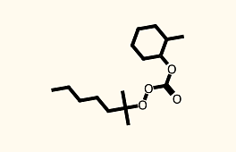 CCCCCC(C)(C)OOC(=O)OC1CCCCC1C